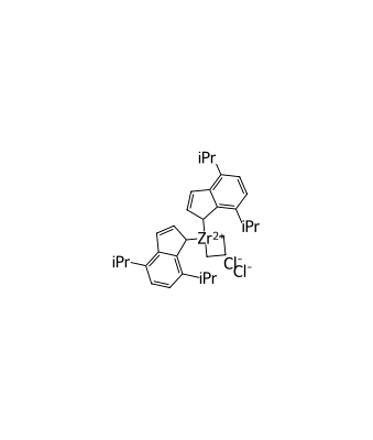 CC(C)c1ccc(C(C)C)c2c1C=C[CH]2[Zr+2]1([CH]2C=Cc3c(C(C)C)ccc(C(C)C)c32)[CH2]C[CH2]1.[Cl-].[Cl-]